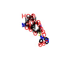 COc1ccc(N(CCS[C@@H]2C(=O)O[C@@]3(C)[C@H]2[C@@H](C)C(=O)[C@H](C)C[C@@](C)(OC)[C@@H]2O[C@@H]4O[C@H](C[C@@H]5O[C@H](C[C@@](C)(OC)[C@H]5O)O[C@@H]([C@@H]2C)[C@@H](C)C(=O)O[C@@H]3I)C[C@H](N(C)C)[C@H]4O)C(=O)c2ccncc2)cc1OC1CCCC1